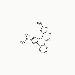 Cc1nn(C)cc1C1=C2C=C(N(C)C)C=C2c2ccccc2C1=O